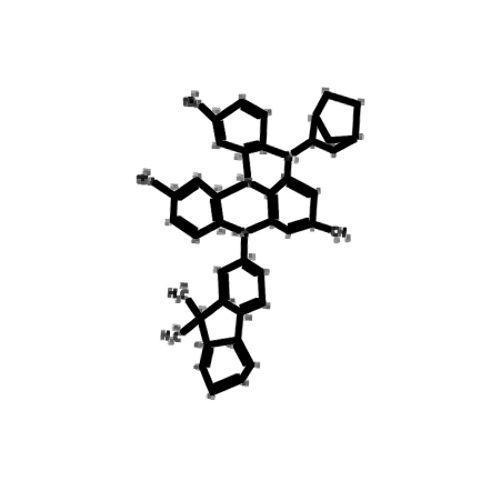 Cc1cc2c3c(c1)N(C1CC4CCC1C4)c1ccc(C(C)(C)C)cc1B3c1cc(C(C)(C)C)ccc1N2c1ccc2c(c1)C(C)(C)c1ccccc1-2